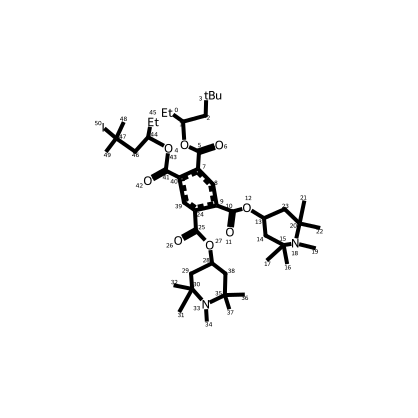 CCC(CC(C)(C)C)OC(=O)c1cc(C(=O)OC2CC(C)(C)N(C)C(C)(C)C2)c(C(=O)OC2CC(C)(C)N(C)C(C)(C)C2)cc1C(=O)OC(CC)CC(C)(C)I